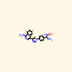 Nc1ncc(-c2cn(-c3ccc(C(N)NO)cc3)nn2)c2ccccc12